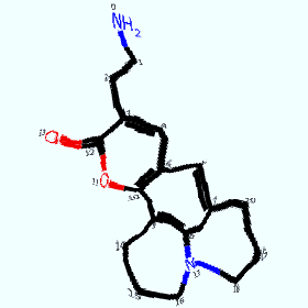 NCCc1cc2cc3c4c(c2oc1=O)CCCN4CCC3